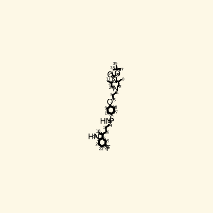 CC1CN(CCCOc2ccc(SNCCCc3c[nH]c4ccc(F)cc34)cc2)CC(C)N1C(=O)OC(C)(C)C